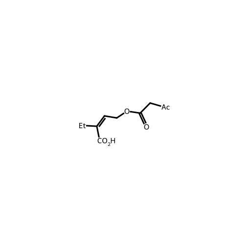 CCC(=CCOC(=O)CC(C)=O)C(=O)O